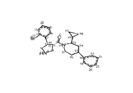 O=C([C@@H]1CNC[C@H]1c1ccccc1Br)N1CCC(c2ccccc2)CC1C1CC1